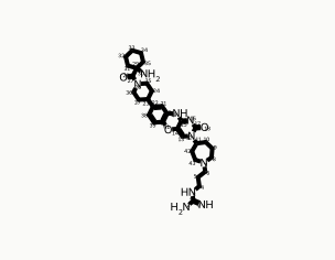 N=C(N)NCCCN1CCCC(n2cc3c(nc2=O)Nc2cc(C4CCN(C(=O)C5(N)CCCCC5)CC4)ccc2O3)CC1